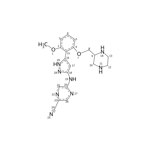 COc1cccc(OCC2CNCCN2)c1-c1cc(Nc2cnc(C#N)cn2)n[nH]1